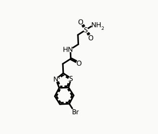 NS(=O)(=O)CCNC(=O)Cc1nc2ccc(Br)cc2s1